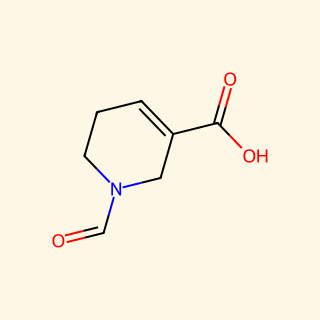 O=CN1CCC=C(C(=O)O)C1